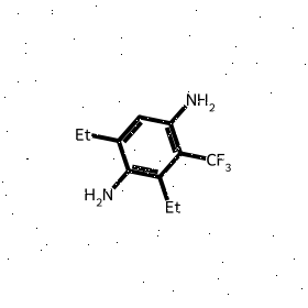 CCc1cc(N)c(C(F)(F)F)c(CC)c1N